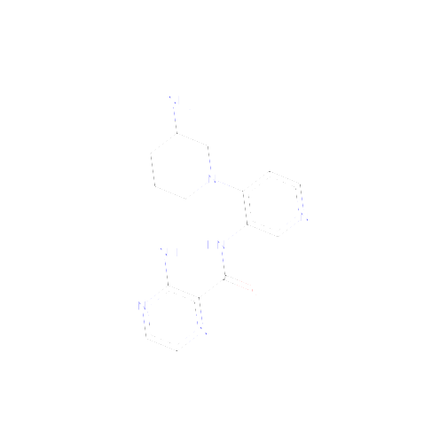 Nc1nccnc1C(=O)Nc1cnccc1N1CCCC(N)C1